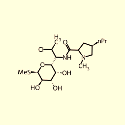 CCC[C@@H]1CC(C(=O)NC(C(C)Cl)[C@H]2O[C@H](SC)[C@H](O)[C@@H](O)[C@H]2O)N(C)C1